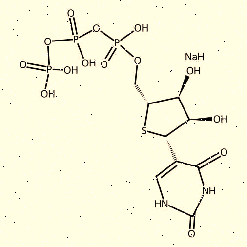 O=c1[nH]cc([C@@H]2S[C@H](COP(=O)(O)OP(=O)(O)OP(=O)(O)O)[C@@H](O)[C@H]2O)c(=O)[nH]1.[NaH]